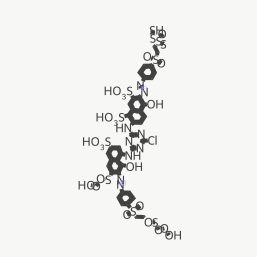 O=S(=O)(O)c1cc(Nc2nc(Cl)nc(Nc3ccc4c(O)c(/N=N/c5ccc(S(=O)(=O)CCS(=O)(=S)SS)cc5)c(S(=O)(=O)O)cc4c3S(=O)(=O)O)n2)c2c(O)c(/N=N/c3ccc(S(=O)(=O)CCOSOOO)cc3)c(SOOO)cc2c1